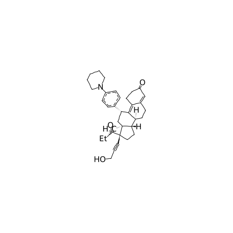 CCC(=O)[C@@]1(C#CCO)CC[C@H]2[C@@H]3CCC4=CC(=O)CCC4=C3[C@@H](c3ccc(N4CCCCC4)cc3)C[C@@]21C